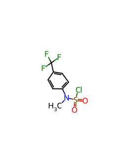 CN(c1ccc(C(F)(F)F)cc1)S(=O)(=O)Cl